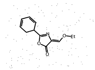 CCO/C=C1\N=C(C2C=CC=CC2)OC1=O